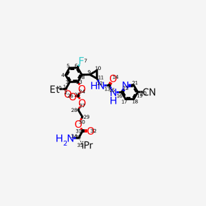 CCC(=O)c1ccc(F)c(C2CC2NC(=O)Nc2ccc(C#N)cn2)c1OC(=O)OCCOC(=O)[C@@H](N)C(C)C